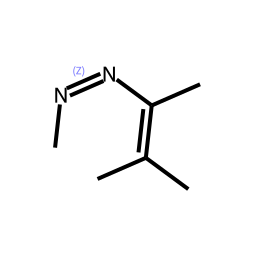 C/N=N\C(C)=C(C)C